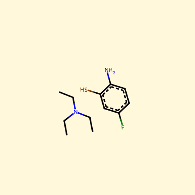 CCN(CC)CC.Nc1ccc(F)cc1S